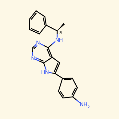 C[C@@H](Nc1ncnc2[nH]c(-c3ccc(N)cc3)cc12)c1ccccc1